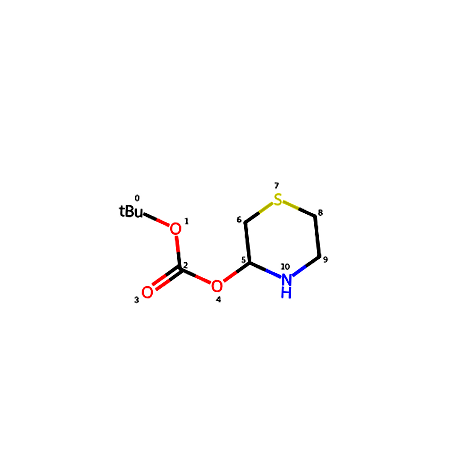 CC(C)(C)OC(=O)OC1CSCCN1